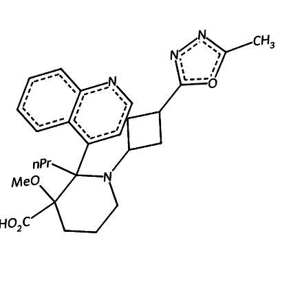 CCCC1(c2ccnc3ccccc23)N(C2CC(c3nnc(C)o3)C2)CCCC1(OC)C(=O)O